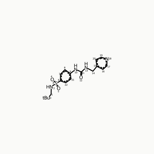 CC(C)(C)CNS(=O)(=O)c1ccc(NC(=O)NCc2ccncc2)cc1